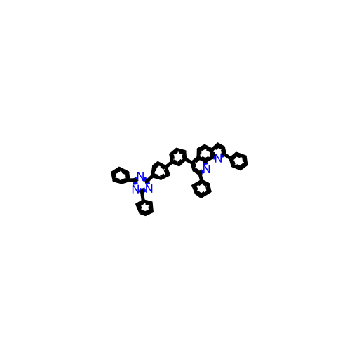 c1ccc(-c2ccc3ccc4c(-c5cccc(-c6ccc(-c7nc(-c8ccccc8)nc(-c8ccccc8)n7)cc6)c5)cc(-c5ccccc5)nc4c3n2)cc1